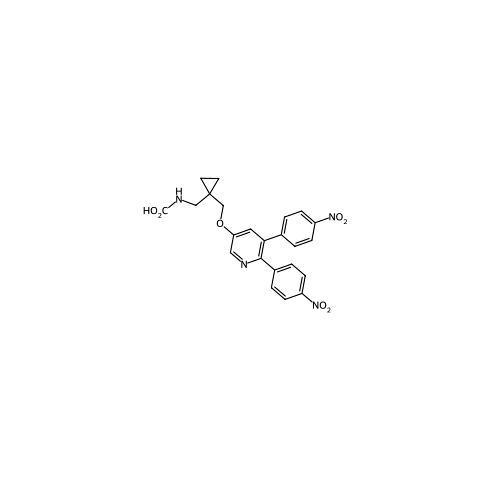 O=C(O)NCC1(COc2cnc(-c3ccc([N+](=O)[O-])cc3)c(-c3ccc([N+](=O)[O-])cc3)c2)CC1